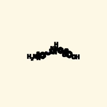 Nc1nc2ccc(/C=C/c3cnc(Nc4ccc(S(=O)(=O)N5CCC(O)CC5)cc4)nc3)cc2s1